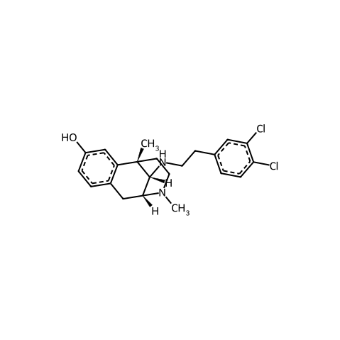 CN1CC[C@@]2(C)c3cc(O)ccc3C[C@@H]1[C@H]2NCCc1ccc(Cl)c(Cl)c1